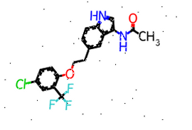 CC(=O)Nc1c[nH]c2ccc(CCOc3ccc(Cl)cc3C(F)(F)F)cc12